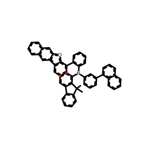 CC1(C)c2ccccc2-c2cccc(N(c3cccc(-c4cccc5ccccc45)c3)c3ccccc3-c3cccc4c3oc3cc5ccccc5cc34)c21